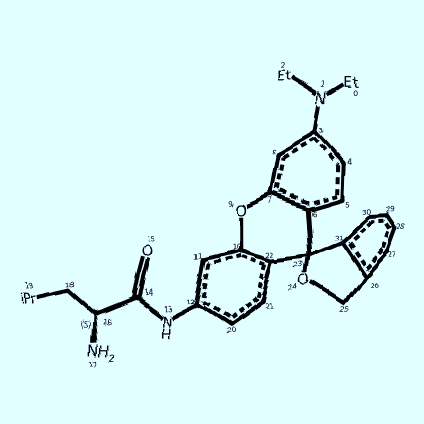 CCN(CC)c1ccc2c(c1)Oc1cc(NC(=O)[C@@H](N)CC(C)C)ccc1C21OCc2ccccc21